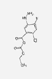 CCOC(=O)OC(=O)c1cc(NN)c(F)cc1Cl